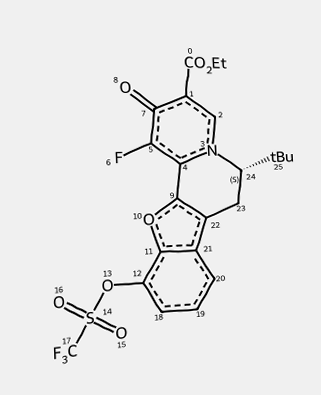 CCOC(=O)c1cn2c(c(F)c1=O)-c1oc3c(OS(=O)(=O)C(F)(F)F)cccc3c1C[C@H]2C(C)(C)C